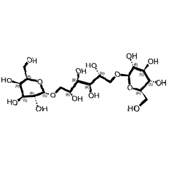 OC[C@H]1O[C@H](OC[C@@H](O)[C@@H](O)[C@H](O)[C@H](O)COC2O[C@H](CO)[C@@H](O)[C@H](O)[C@H]2O)[C@H](O)[C@@H](O)[C@H]1O